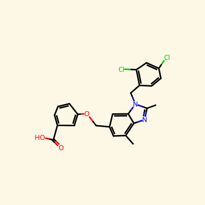 Cc1cc(COc2cccc(C(=O)O)c2)cc2c1nc(C)n2Cc1ccc(Cl)cc1Cl